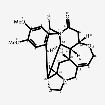 COc1cc2c(cc1OC)[N+]1(CCl)C(=O)C[C@@H]3OCC=C4CN5CC[C@]26[C@@H]5C[C@@H]4[C@@H]3[C@@H]61